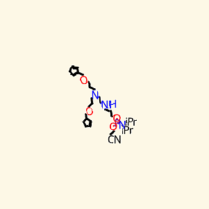 CC(C)N(C(C)C)P(OCCC#N)OCCCNCCN(CCCOCC1=CCC=C1)CCCOCC1C=CC=C1